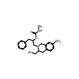 CC(C)CC1Cc2ccc([N+](=O)[O-])cc2CN1CC(Cc1ccccc1)OC(=O)NC(C)(C)C